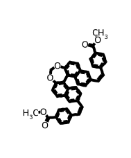 COC(=O)c1ccc(/C=C\c2ccc3c4c(ccc3c2)OCOc2ccc3cc(/C=C\c5ccc(C(=O)OC)cc5)ccc3c2-4)cc1